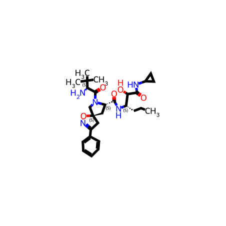 CCC[C@H](NC(=O)[C@@H]1C[C@]2(CC(c3ccccc3)=NO2)CN1C(=O)[C@@H](N)C(C)(C)C)C(O)C(=O)NC1CC1